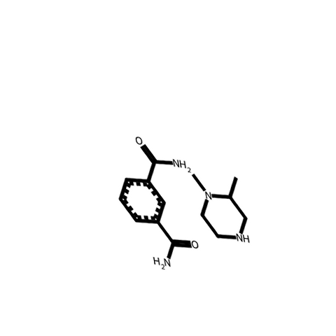 CC1CNCCN1C.NC(=O)c1cccc(C(N)=O)c1